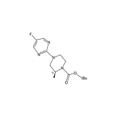 C[C@H]1CN(c2ncc(F)cn2)CCN1C(=O)OC(C)(C)C